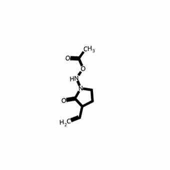 C=CC1CCN(NOC(C)=O)C1=O